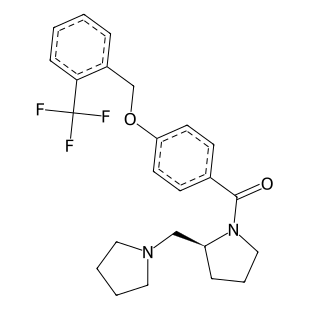 O=C(c1ccc(OCc2ccccc2C(F)(F)F)cc1)N1CCC[C@H]1CN1CCCC1